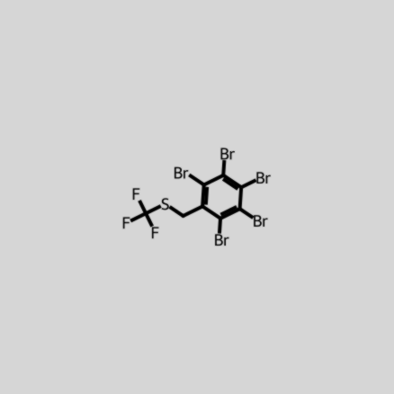 FC(F)(F)SCc1c(Br)c(Br)c(Br)c(Br)c1Br